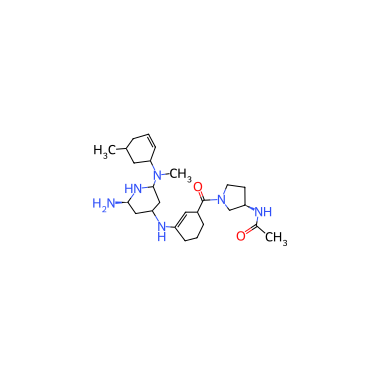 CC(=O)N[C@@H]1CCN(C(=O)C2C=C(NC3CC(N(C)C4C=CCC(C)C4)N[C@H](N)C3)CCC2)C1